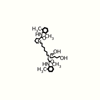 Cc1cccc(C)c1NC(=O)C[N+](CCO)(CCCCO)CCCCCCN1CCCC1C(=O)Nc1c(C)cccc1C